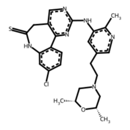 Cc1ncc(CCN2C[C@@H](C)O[C@@H](C)C2)cc1Nc1ncc2c(n1)-c1ccc(Cl)cc1NC(=S)C2